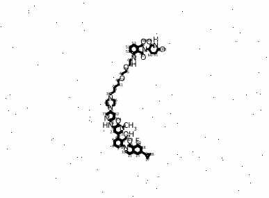 Cn1cc(-c2cccc(-n3ccc4cc(C5CC5)cc(F)c4c3=O)c2CO)cc(Nc2ccc(N3CCN(CCCCCOCCOCCNc4cccc5c4C(=O)N(C4CCC(=O)NC4=O)C5=O)CC3)cn2)c1=O